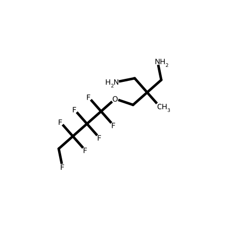 CC(CN)(CN)COC(F)(F)C(F)(F)C(F)(F)CF